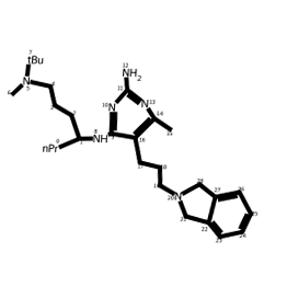 CCCC(CCCN(C)C(C)(C)C)Nc1nc(N)nc(C)c1CCCN1Cc2ccccc2C1